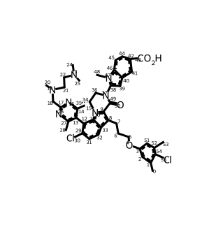 Cc1cc(OCCCc2c3n(c4c(-c5c(C)nc(CN(C)CCN(C)C)nc5C)c(Cl)ccc24)[C@H](C)CN(c2cc4cc(C(=O)O)ccc4n2C)C3=O)cc(C)c1Cl